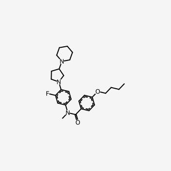 CCCCOc1ccc(C(=O)N(C)c2ccc(N3CCC(N4CCCCC4)C3)c(F)c2)cc1